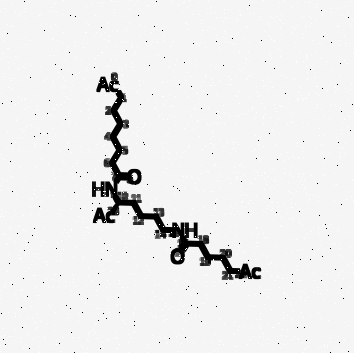 CC(=O)CCCCCCC(=O)N[C@@H](CCCCNC(=O)CCCCC(C)=O)C(C)=O